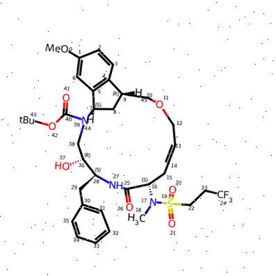 COc1ccc2c(c1)[C@@H]1C[C@H]2COCC=CC[C@H](N(C)S(=O)(=O)CCC(F)(F)F)C(=O)N[C@@H](Cc2ccccc2)[C@H](O)CN1C(=O)OC(C)(C)C